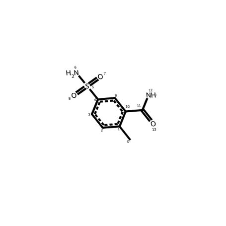 Cc1ccc(S(N)(=O)=O)cc1C([NH])=O